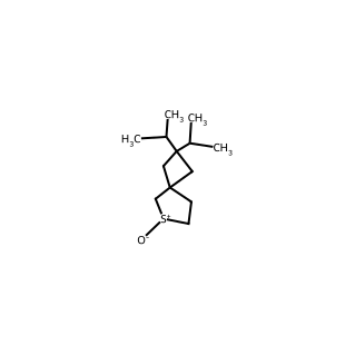 CC(C)C1(C(C)C)CC2(CC[S+]([O-])C2)C1